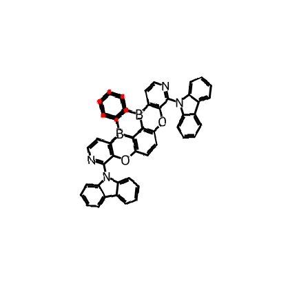 c1ccc(B2c3ccnc(-n4c5ccccc5c5ccccc54)c3Oc3ccc4c(c32)B(c2ccccc2)c2ccnc(-n3c5ccccc5c5ccccc53)c2O4)cc1